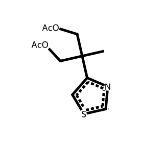 CC(=O)OCC(C)(COC(C)=O)c1cs[c]n1